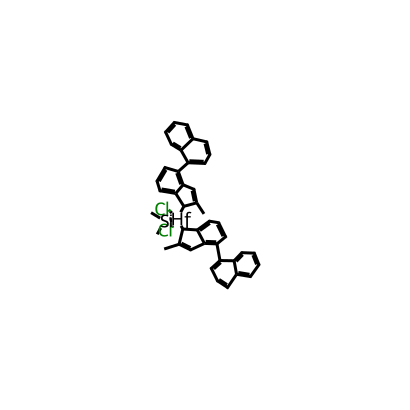 CC1=Cc2c(-c3cccc4ccccc34)cccc2[CH]1[Hf]([Cl])([Cl])([CH]1C(C)=Cc2c(-c3cccc4ccccc34)cccc21)=[Si](C)C